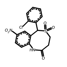 O=C1CCS(=O)(=O)C(c2ccccc2Cl)c2cc([N+](=O)[O-])ccc2N1